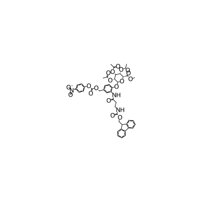 COC(=O)[C@H]1O[C@@H](Oc2ccc(COC(=O)Oc3ccc([N+](=O)[O-])cc3)cc2NC(=O)CCNC(=O)OCC2c3ccccc3-c3ccccc32)[C@H](OC(C)=O)[C@@H](OC(C)=O)[C@@H]1OC(C)=O